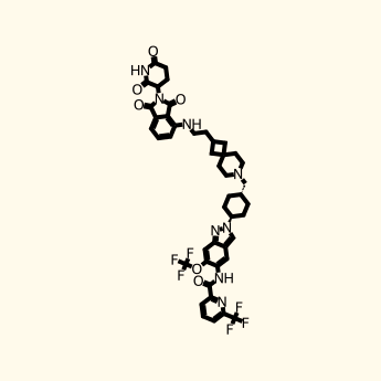 O=C1CCC(N2C(=O)c3cccc(NCCC4CC5(CCN(C[C@H]6CC[C@H](n7cc8cc(NC(=O)c9cccc(C(F)(F)F)n9)c(OC(F)(F)F)cc8n7)CC6)CC5)C4)c3C2=O)C(=O)N1